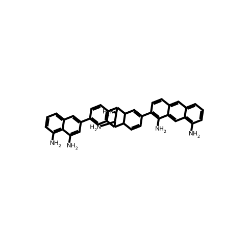 Nc1cccc2cc3ccc(C4=CC5C(C=C4)C4c6cc(-c7cc(N)c8c(N)cccc8c7)ccc6C5C(N)C4N)c(N)c3cc12